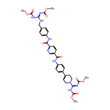 CC(C)(C)OC(=O)/N=C(/NC(=O)OC(C)(C)C)N1CC=C(c2ccc(NC(=O)c3ccc(C(=O)Nc4ccc(CN/C(=N\C(=O)OC(C)(C)C)NC(=O)OC(C)(C)C)cc4)nc3)cc2)CC1